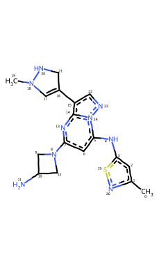 Cc1cc(Nc2cc(N3CC(N)C3)nc3c(C4=CN(C)NC4)cnn23)sn1